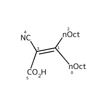 CCCCCCCCC(CCCCCCCC)=C(C#N)C(=O)O